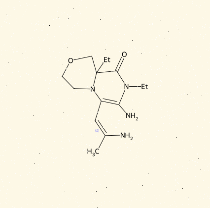 CCN1C(=O)C2(CC)COCCN2C(/C=C(/C)N)=C1N